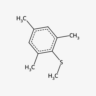 CSc1c(C)cc(C)cc1C